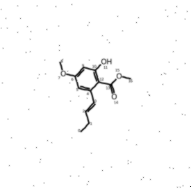 CCC=Cc1cc(OC)cc(O)c1C(=O)OC